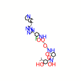 CC(C)c1cc(C(=O)N(C)Cc2cccc(C(=O)NCCOCCOC(=O)Nc3ccc(-c4cnc5ncc(Cc6ccc7ncccc7c6)n5n4)cc3F)c2)c(O)cc1O